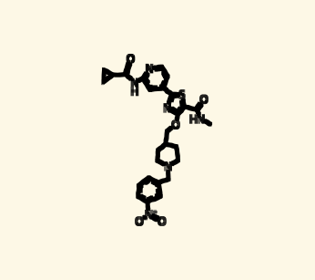 CNC(=O)c1sc(-c2ccnc(NC(=O)C3CC3)c2)nc1OCC1CCN(Cc2cccc([N+](=O)[O-])c2)CC1